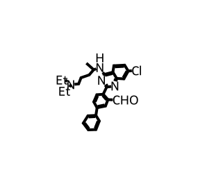 CCN(CC)CCCC(C)Nc1nc(-c2ccc(-c3ccccc3)cc2C=O)nc2cc(Cl)ccc12